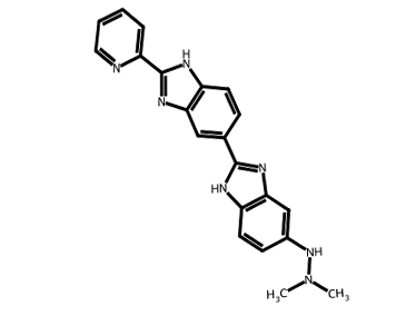 CN(C)Nc1ccc2[nH]c(-c3ccc4[nH]c(-c5ccccn5)nc4c3)nc2c1